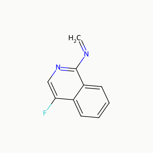 C=Nc1ncc(F)c2ccccc12